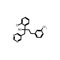 N#CC(CCc1cccc(C(F)(F)F)c1)(Cc1cncnc1)c1ccccc1Cl